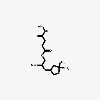 CCCCNC(=O)CCC(=O)OCC(OC)OC1COC(C)(C)C1